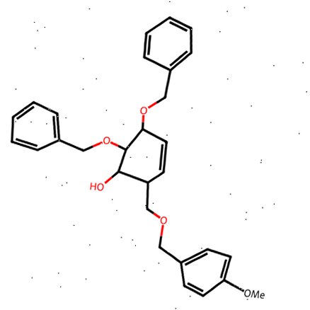 COc1ccc(COCC2C=CC(OCc3ccccc3)C(OCc3ccccc3)C2O)cc1